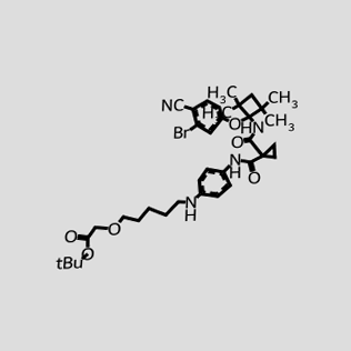 CC(C)(C)OC(=O)COCCCCCNc1ccc(NC(=O)C2(C(=O)NC3(Oc4ccc(C#N)c(Br)c4)C(C)(C)CC3(C)C)CC2)cc1